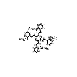 CC(=O)Nc1ncccc1C=Cc1nc(C=Cc2cccnc2NC(C)=O)c(C=Cc2cccnc2NC(C)=O)nc1C=Cc1cccnc1NC(C)=O